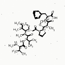 CC[C@H](C)[C@@H]([C@@H](CC(=O)N1CCC[C@H]1[C@H](OC)[C@@H](C)C(=O)N[C@@H](Cc1cc#ccc1)C(=O)O)OC)N(C)C(=O)[C@@H](NC(=O)[C@@H](NC)C(C)C)C(C)C